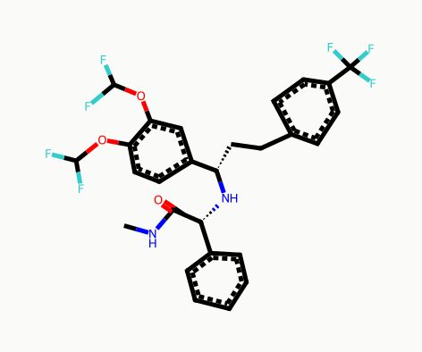 CNC(=O)[C@H](N[C@@H](CCc1ccc(C(F)(F)F)cc1)c1ccc(OC(F)F)c(OC(F)F)c1)c1ccccc1